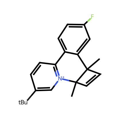 CC(C)(C)c1ccc2[n+](c1)C1(C)C=CC1(C)c1cc(F)ccc1-2